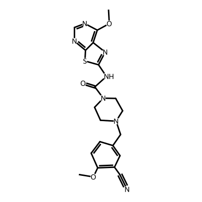 COc1ccc(CN2CCN(C(=O)Nc3nc4c(OC)ncnc4s3)CC2)cc1C#N